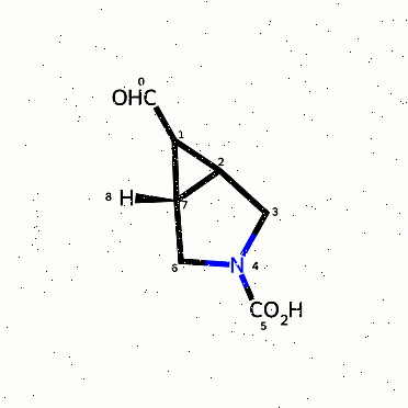 O=CC1C2CN(C(=O)O)C[C@H]12